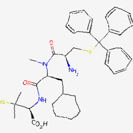 CN(C(=O)[C@H](N)CSC(c1ccccc1)(c1ccccc1)c1ccccc1)[C@@H](CC1CCCCC1)C(=O)N[C@@H](C(=O)O)C(C)(C)S